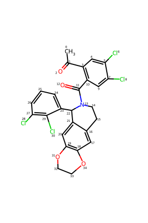 CC(=O)c1cc(Cl)c(Cl)cc1C(=O)N1CCc2cc3c(cc2C1c1cccc(Cl)c1Cl)OCCO3